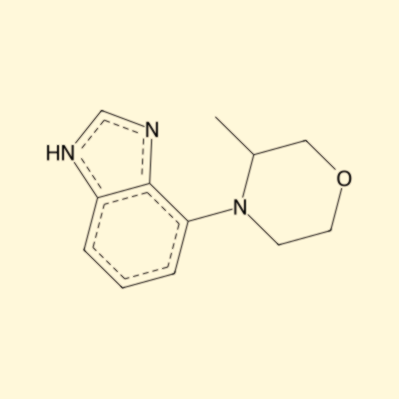 CC1COCCN1c1cccc2[nH]cnc12